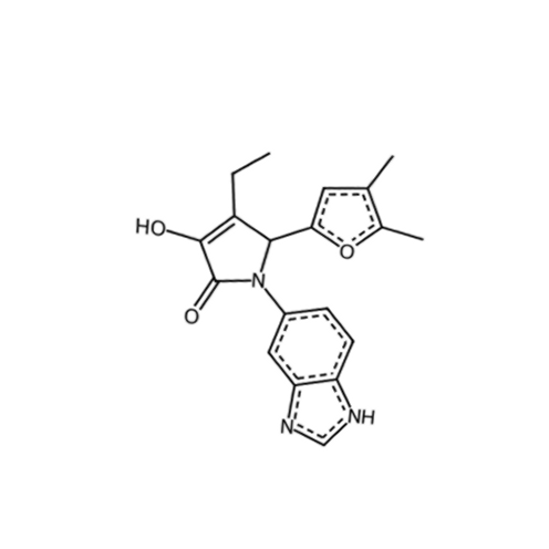 CCC1=C(O)C(=O)N(c2ccc3[nH]cnc3c2)C1c1cc(C)c(C)o1